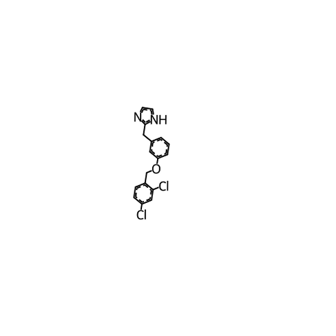 Clc1ccc(COc2cccc(Cc3ncc[nH]3)c2)c(Cl)c1